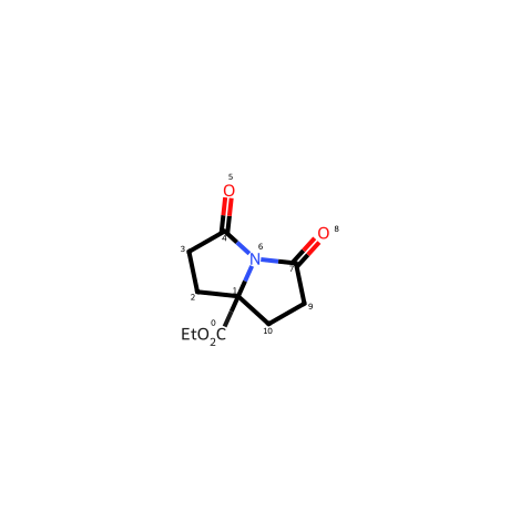 CCOC(=O)C12CCC(=O)N1C(=O)CC2